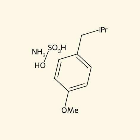 COc1ccc(CC(C)C)cc1.N.O=S(=O)(O)O